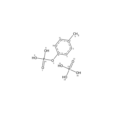 Cc1ccc(OP(=O)(O)O)cc1.O=P(O)(O)O